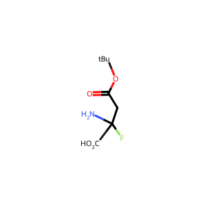 CC(C)(C)OC(=O)CC(N)(F)C(=O)O